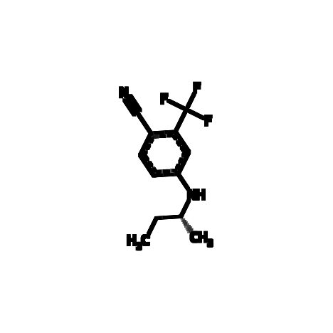 CC[C@@H](C)Nc1ccc(C#N)c(C(F)(F)F)c1